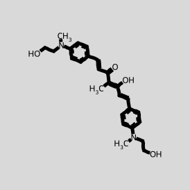 C/C(C(=O)/C=C/c1ccc(N(C)CCO)cc1)=C(O)\C=C\c1ccc(N(C)CCO)cc1